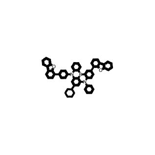 c1ccc(N2c3ccc(-c4cccc5c4oc4ccccc45)cc3B3c4ccccc4N(c4ccc(-c5cccc6c5oc5ccccc56)cc4)c4cc(C5CCCCC5)cc2c43)cc1